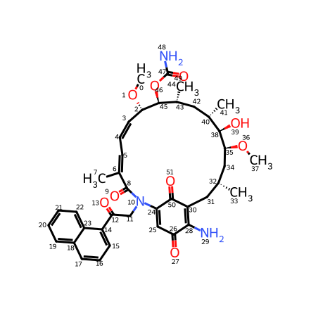 CO[C@H]1/C=C\C=C(/C)C(=O)N(CC(=O)c2cccc3ccccc23)C2=CC(=O)C(N)=C(C[C@@H](C)C[C@H](OC)[C@H](O)[C@@H](C)C[C@@H](C)[C@@H]1OC(N)=O)C2=O